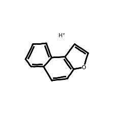 [H+].c1ccc2c(c1)ccc1occc12